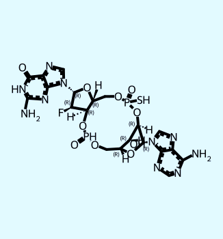 Nc1nc2c(ncn2[C@@H]2O[C@@H]3COP(=O)(S)O[C@@H]4[C@H](O)[C@@H](CO[PH](=O)O[C@H]3[C@H]2F)O[C@H]4n2cnc3c(N)ncnc32)c(=O)[nH]1